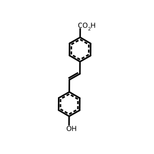 O=C(O)c1ccc(/C=C/c2ccc(O)cc2)cc1